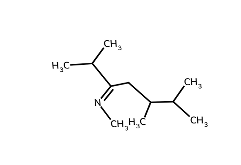 C/N=C(\CC(C)C(C)C)C(C)C